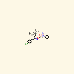 CC(C)CCC(/C=C/c1ccc(Cl)cc1)=N\OC[C@H](O)CNC1CCCCC1